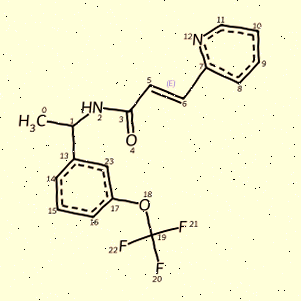 CC(NC(=O)/C=C/c1ccccn1)c1cccc(OC(F)(F)F)c1